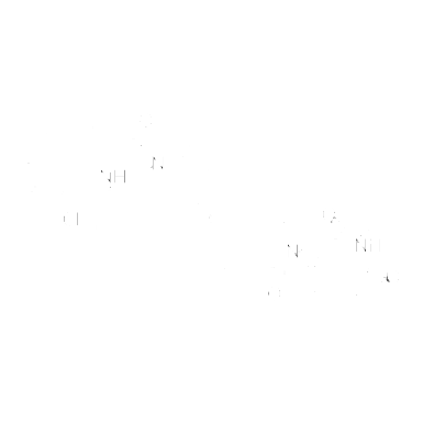 Cc1cccc2cc(C(=O)N3CCC(c4ccc5c(c4)CN(C4CCC(=O)NC4=O)C5=O)CC3)[nH]c12